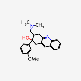 COc1cccc(C2(O)Cc3cc4ccccc4nc3CC2CN(C)C)c1